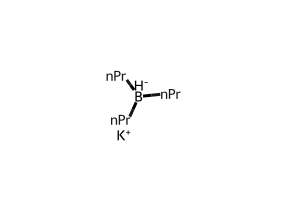 CCC[BH-](CCC)CCC.[K+]